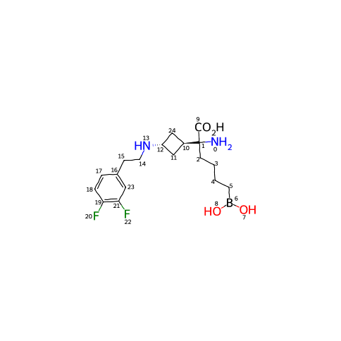 NC(CCCCB(O)O)(C(=O)O)[C@H]1C[C@H](NCCc2ccc(F)c(F)c2)C1